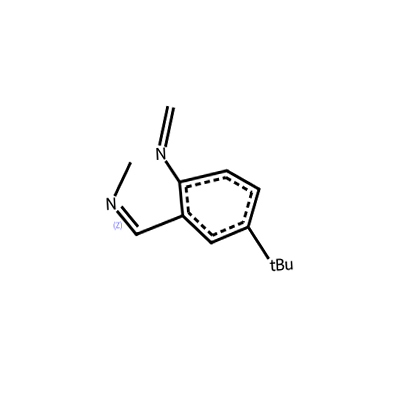 C=Nc1ccc(C(C)(C)C)cc1/C=N\C